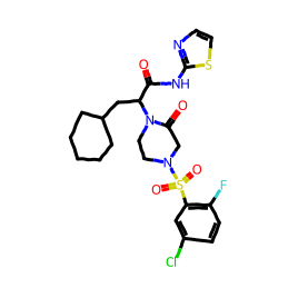 O=C(Nc1nccs1)C(CC1CCCCC1)N1CCN(S(=O)(=O)c2cc(Cl)ccc2F)CC1=O